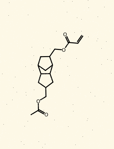 C=CC(=O)OCC1CC2CC1C1CC(COC(C)=O)CC21